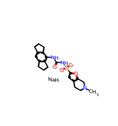 CN1CCc2cc(S(=O)(=O)NC(=O)Nc3c4c(cc5c3CCC5)CCC4)oc2C1.[NaH]